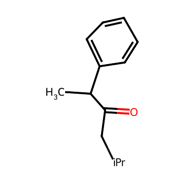 CC(C)CC(=O)C(C)c1ccccc1